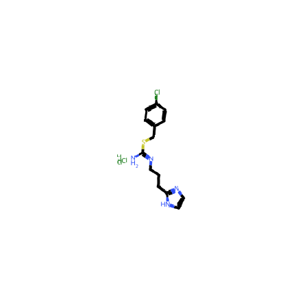 Cl.Cl.NC(=NCCCc1ncc[nH]1)SCc1ccc(Cl)cc1